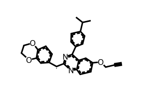 C#CCOc1ccc2nc([CH]c3ccc4c(c3)OCCO4)nc(-c3ccc(C(C)C)cc3)c2c1